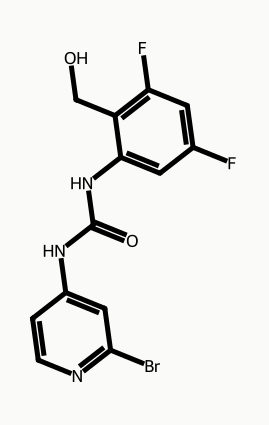 O=C(Nc1ccnc(Br)c1)Nc1cc(F)cc(F)c1CO